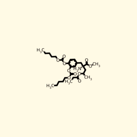 CCCCCOC(=O)Oc1ccc(C[C@](N)(CC(C)OC(=O)CC)C(=O)OC)cc1OC(=O)OCCCCC